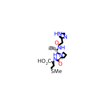 CC[C@H](C)[C@@H](CN1CCC[C@H]1C(=O)N[C@@H](CCSC)C(=O)O)NC(=O)Cc1c[nH]cn1